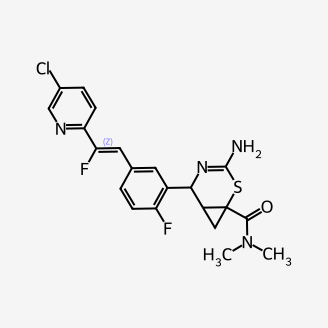 CN(C)C(=O)C12CC1C(c1cc(/C=C(\F)c3ccc(Cl)cn3)ccc1F)N=C(N)S2